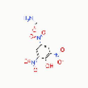 NC=O.O=[N+]([O-])c1cc([N+](=O)[O-])c(O)c([N+](=O)[O-])c1